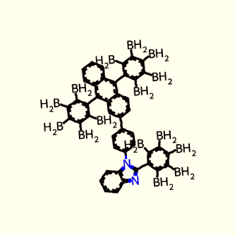 Bc1c(B)c(B)c(-c2c3ccccc3c(-c3c(B)c(B)c(B)c(B)c3B)c3cc(-c4ccc(-n5c(-c6c(B)c(B)c(B)c(B)c6B)nc6ccccc65)cc4)ccc23)c(B)c1B